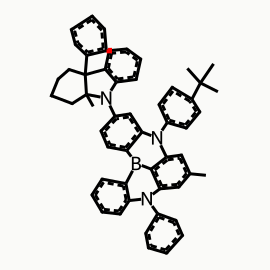 Cc1cc2c3c(c1)N(c1ccc(C(C)(C)C)cc1)c1cc(N4c5ccccc5C5(c6ccccc6)CCCCC45C)ccc1B3c1ccccc1N2c1ccccc1